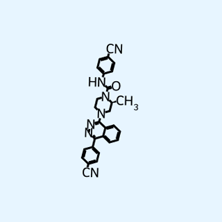 C[C@H]1CN(c2nnc(-c3ccc(C#N)cc3)c3ccccc23)CCN1C(=O)Nc1ccc(C#N)cc1